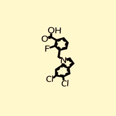 O=C(O)c1cccc(Cn2ccc3cc(Cl)c(Cl)cc32)c1F